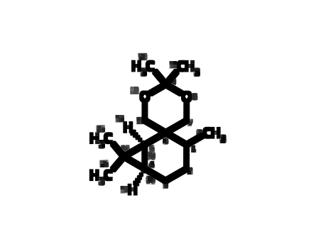 CC1CC[C@@H]2[C@H](C13COC(C)(C)OC3)C2(C)C